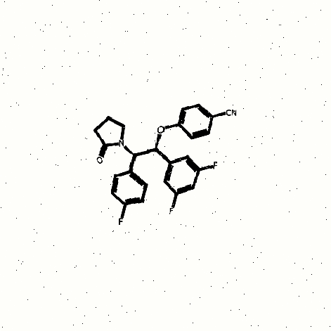 N#Cc1ccc(O[C@@H](c2cc(F)cc(F)c2)[C@@H](c2ccc(F)cc2)N2CCCC2=O)cc1